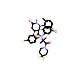 Cc1ccc(F)cc1[C@@H]1NC(=O)C[C@H](c2cc(Cl)ccc2OC(C)(C)C(=O)N2CCC(F)(F)CC2)[C@@]12C(=O)Nc1cc(Cl)ccc12